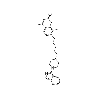 CC1=CC(=O)Cc2c1ccc(CCCCCN1CCN(c3nsc4ccccc34)CC1)c2C